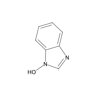 On1[c]nc2ccccc21